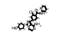 Nc1nccn2c1c(-c1ccc(C(=O)Nc3ccccn3)c(Cl)c1)nc2[C@H]1CC[C@H](O)CC1